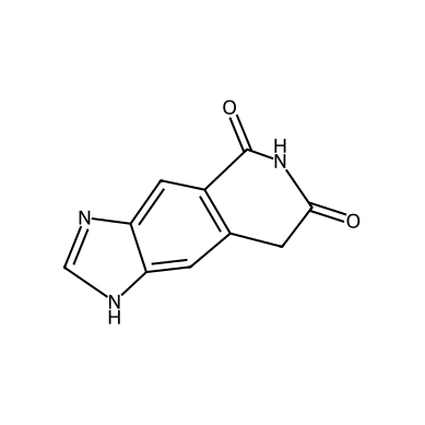 O=C1Cc2cc3[nH]cnc3cc2C(=O)N1